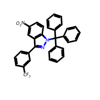 O=[N+]([O-])c1ccc2c(c1)c(-c1cccc(C(F)(F)F)c1)nn2C(c1ccccc1)(c1ccccc1)c1ccccc1